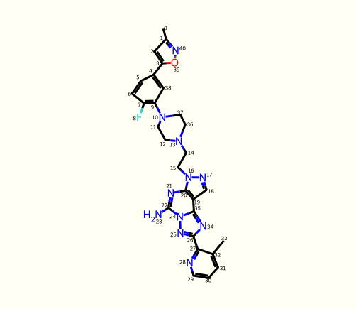 Cc1cc(-c2ccc(F)c(N3CCN(CCn4ncc5c4nc(N)n4nc(-c6ncccc6C)nc54)CC3)c2)on1